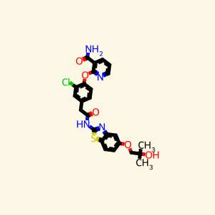 CC(C)(O)COc1ccc2sc(NC(=O)Cc3ccc(Oc4ncccc4C(N)=O)c(Cl)c3)nc2c1